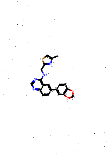 Cc1csc(CNc2ncnc3ccc(-c4ccc5c(c4)OCO5)cc23)n1